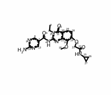 CCn1c(NC(=O)c2cnc(N)nc2)nc2c(OC)c(OCC(=O)NC3CC3)ccc2c1=O